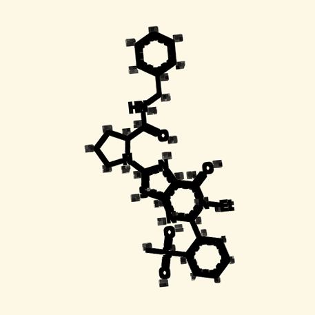 CCn1c(-c2ccccc2S(C)(=O)=O)nc2sc(N3CCCC3C(=O)NCc3ccccc3)nc2c1=O